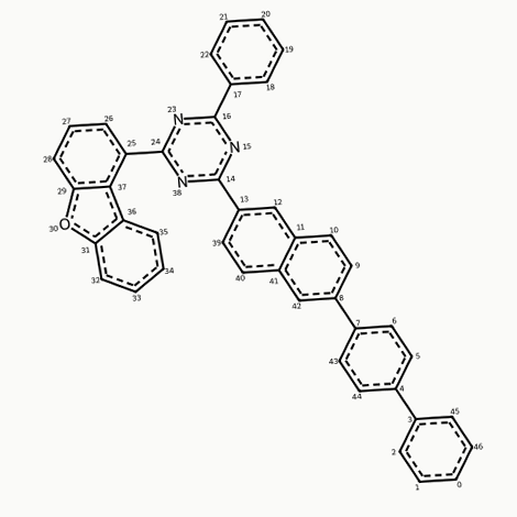 c1ccc(-c2ccc(-c3ccc4cc(-c5nc(-c6ccccc6)nc(-c6cccc7oc8ccccc8c67)n5)ccc4c3)cc2)cc1